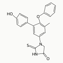 Cc1cc(N2CC(=O)NC2=S)cc(-c2ccc(O)cc2)c1Oc1ccccc1